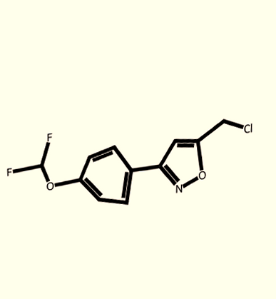 FC(F)Oc1ccc(-c2cc(CCl)on2)cc1